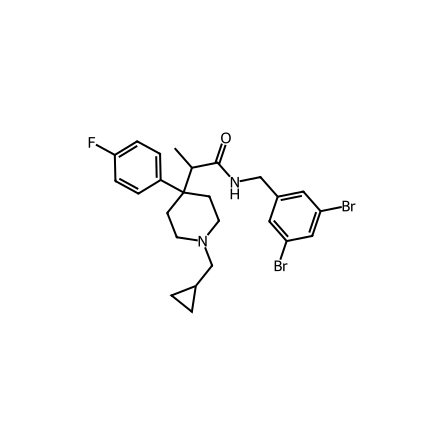 CC(C(=O)NCc1cc(Br)cc(Br)c1)C1(c2ccc(F)cc2)CCN(CC2CC2)CC1